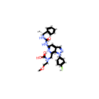 COCCN(Cc1nc(NC(=O)N[C@H](C)c2ccccc2)cc2cnn(-c3ccc(F)cc3)c12)C(=O)O